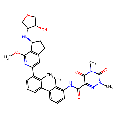 COc1nc(-c2cccc(-c3cccc(NC(=O)c4nn(C)c(=O)n(C)c4=O)c3C)c2C)cc2c1[C@@H](N[C@@H]1COC[C@H]1O)CC2